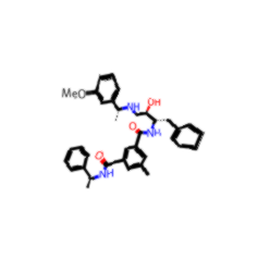 COc1cccc([C@@H](C)NC[C@@H](O)[C@H](Cc2ccccc2)NC(=O)c2cc(C)cc(C(=O)N[C@@H](C)c3ccccc3)c2)c1